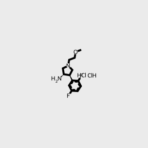 COCCN1C[C@@H](N)[C@H](c2cc(F)ccc2F)C1.Cl.Cl